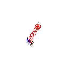 C#CCN(C/C=C/c1ccccc1SC(C)C)C(=O)COCCOCCOCCOCCOS(=O)(=O)c1ccc(C)cc1